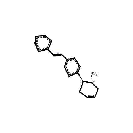 O=[N+]([O-])[C@@H]1CC=CC[C@H]1c1ccc(/C=C/c2ccccc2)cc1